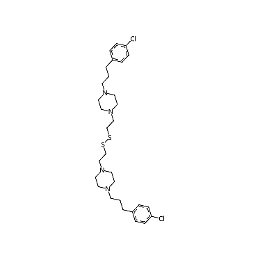 Clc1ccc(CCCN2CCN(CCSSCCN3CCN(CCCc4ccc(Cl)cc4)CC3)CC2)cc1